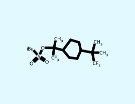 CCC(C)S(=O)(=O)OC(C)(C1CCC(C(C)(C)C(F)(F)F)CC1)C(F)(F)F